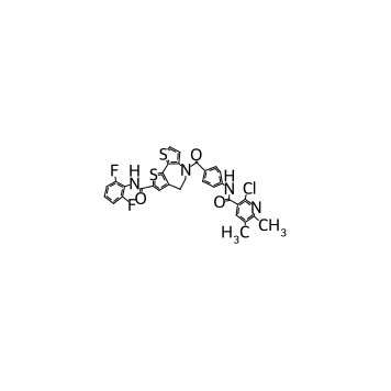 Cc1cc(C(=O)Nc2ccc(C(=O)N3CCc4cc(C(=O)Nc5c(F)cccc5F)sc4-c4sccc43)cc2)c(Cl)nc1C